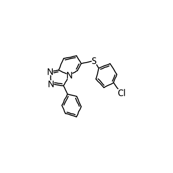 Clc1ccc(Sc2ccc3nnc(-c4ccccc4)n3c2)cc1